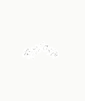 CC[C@@H](Oc1cc(OC)c(-c2noc(=O)[nH]2)cc1F)c1sc(-c2ccc(C(F)(F)F)cc2)nc1C